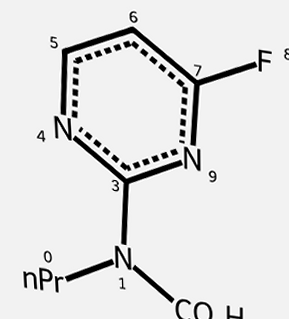 CCCN(C(=O)O)c1nccc(F)n1